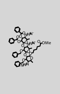 COC(=O)CCCCCO[C@H]1OC(C)C(N=[N+]=[N-])C(OCc2ccccc2)C1O[C@H]1OC(C)C(N=[N+]=[N-])C(O[C@H]2OC(C)C(N=[N+]=[N-])C(OC(=O)c3ccccc3)C2OC(=O)c2ccccc2)C1OCc1ccccc1